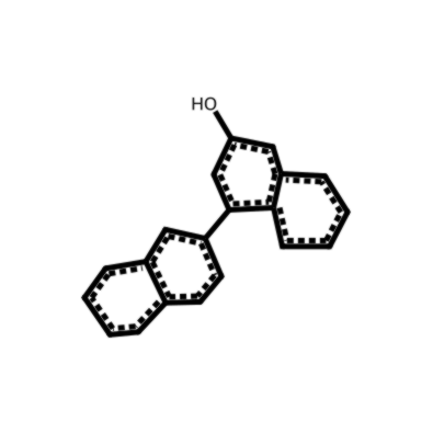 Oc1cc(-c2ccc3ccccc3c2)c2ccccc2c1